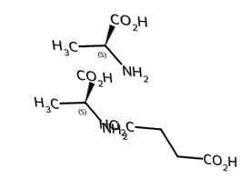 C[C@H](N)C(=O)O.C[C@H](N)C(=O)O.O=C(O)CCC(=O)O